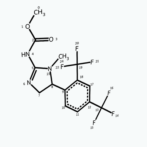 COC(=O)NC1=NCC(c2ccc(C(F)(F)F)cc2C(F)(F)F)N1C